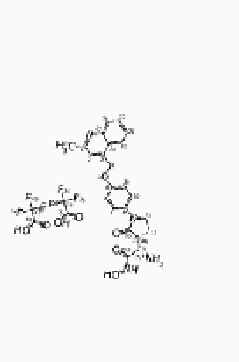 Cc1cc(COc2ccc(N3CC[C@H]([C@H](N)C(=O)NO)C3=O)cc2)c2ccccc2n1.O=C(O)C(F)(F)F.O=C(O)C(F)(F)F